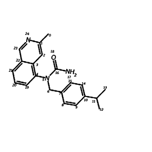 Cc1cc2c(N(Cc3ccc(C(C)C)cc3)C(N)=O)cccc2cn1